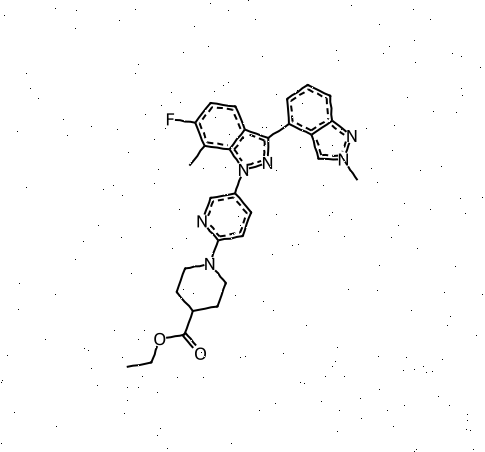 CCOC(=O)C1CCN(c2ccc(-n3nc(-c4cccc5nn(C)cc45)c4ccc(F)c(C)c43)cn2)CC1